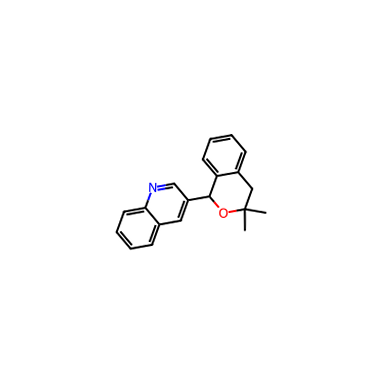 CC1(C)Cc2ccccc2C(c2cnc3ccccc3c2)O1